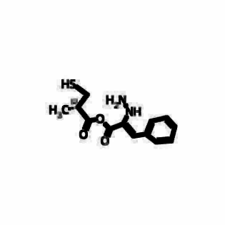 C[C@H](CS)C(=O)OC(=O)C(=Cc1ccccc1)NN